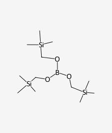 C[Si](C)(C)COB(OC[Si](C)(C)C)OC[Si](C)(C)C